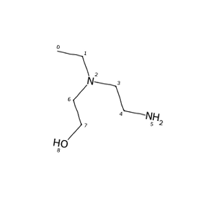 CCN(CCN)CCO